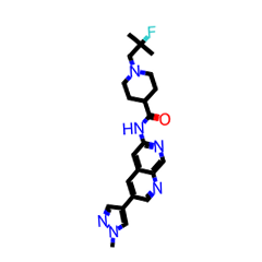 Cn1cc(-c2cnc3cnc(NC(=O)C4CCN(CC(C)(C)F)CC4)cc3c2)cn1